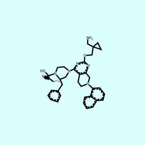 N#CC[C@@]1(Cc2ccccc2)CN(c2nc(OCC3(CN)CC3)nc3c2CCN(c2cccc4ccccc24)C3)CCN1C(=O)O